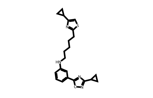 c1cc(NCCCCCc2nc(C3CC3)cs2)cc(-c2nc(C3CC3)no2)c1